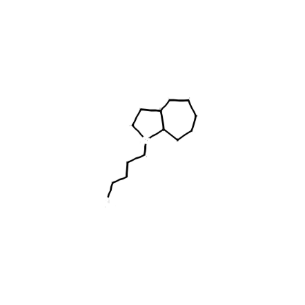 NCCCCN1CCC2CCCCCC21